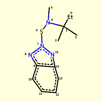 CCC(C)(C)N(C)Sn1nc2ccccc2n1